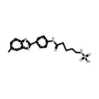 Cc1ccc2nc(-c3ccc(NC(=O)CCCCNS(=O)(=O)C(C)C)cc3)sc2c1